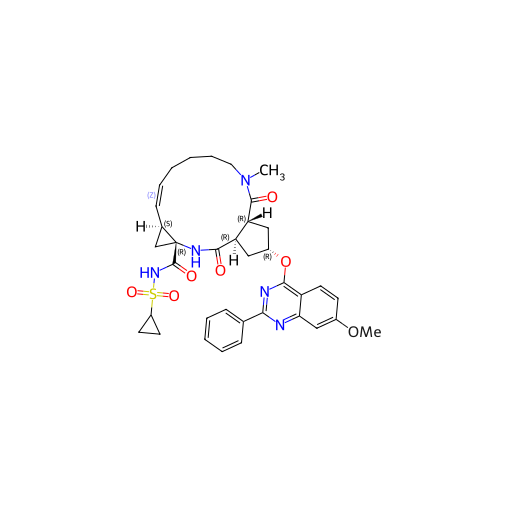 COc1ccc2c(O[C@@H]3C[C@H]4C(=O)N[C@]5(C(=O)NS(=O)(=O)C6CC6)C[C@H]5/C=C\CCCCN(C)C(=O)[C@@H]4C3)nc(-c3ccccc3)nc2c1